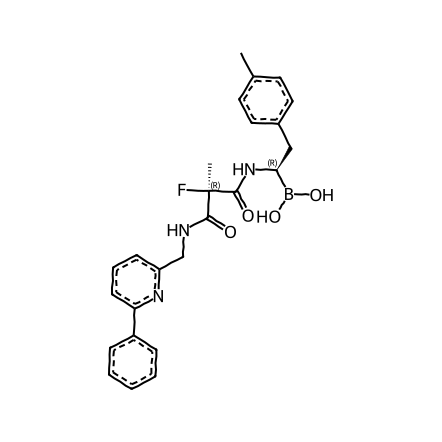 Cc1ccc(C[C@H](NC(=O)[C@](C)(F)C(=O)NCc2cccc(-c3ccccc3)n2)B(O)O)cc1